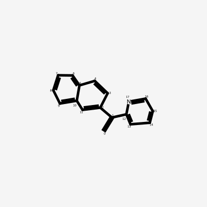 C=C(c1ccc2ccccc2c1)c1ccccn1